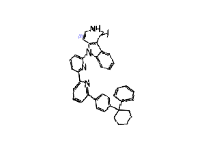 N/C=C\c1c(CI)c2ccccc2n1-c1cccc(-c2cccc(-c3ccc(C4(c5ccccc5)CCCCC4)cc3)n2)n1